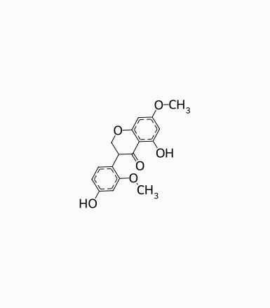 COc1cc(O)c2c(c1)OCC(c1ccc(O)cc1OC)C2=O